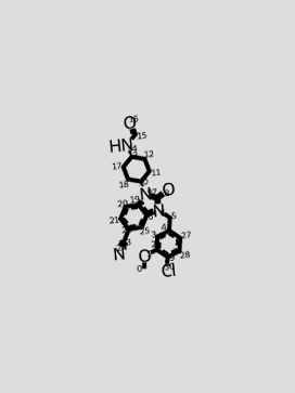 COc1cc(Cn2c(=O)n([C@H]3CC[C@H](NC=O)CC3)c3ccc(C#N)cc32)ccc1Cl